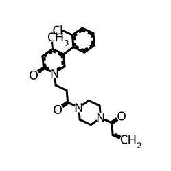 C=CC(=O)N1CCN(C(=O)CCn2cc(-c3ccccc3Cl)c(C)cc2=O)CC1